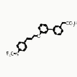 O=C(O)Cc1cccc(-c2cccc(OCC=Cc3ccc(SC(F)(F)F)cc3)c2)c1